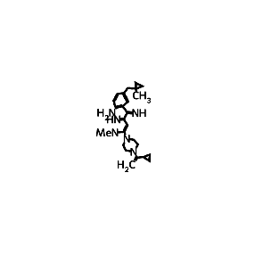 C=C(C1CC1)N1CCN(/C(=C/C(=N)C(=N)c2cc(CC3(C)CC3)ccc2N)NC)CC1